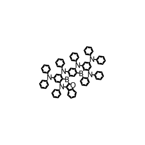 c1ccc(N(c2ccccc2)c2cc3c4c(c2)N(c2ccccc2)c2cc5c(cc2B4c2ccccc2N3c2ccccc2)B2c3oc4ccccc4c3N(c3ccccc3)c3cc(N(c4ccccc4)c4ccccc4)cc(c32)N5c2ccccc2)cc1